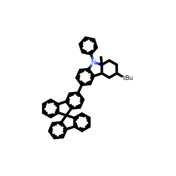 CC(C)(C)C1CCC2(C)C(C1)c1cc(-c3ccc4c(c3)-c3ccccc3C43c4ccccc4-c4ccccc43)ccc1N2c1ccccc1